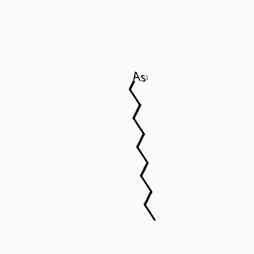 CCCCCCCCCC[As]